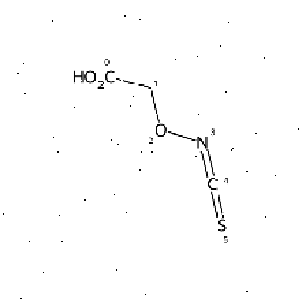 O=C(O)CON=C=S